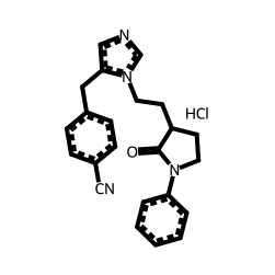 Cl.N#Cc1ccc(Cc2cncn2CCC2CCN(c3ccccc3)C2=O)cc1